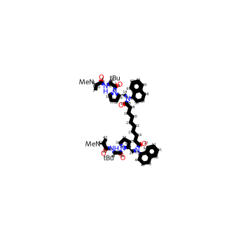 CN[C@@H](C)C(=O)NC(C(=O)N1CCC[C@H]1CN(C(=O)CCCCCCCCC(=O)N(C[C@@H]1CCCN1C(=O)[C@@H](NC(=O)[C@H](C)NC)C(C)(C)C)[C@@H]1CCCc2ccccc21)[C@@H]1CCCc2ccccc21)C(C)(C)C